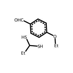 CCC(S)S.CCOc1ccc(C=O)cc1